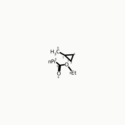 CC1CC1.CCCC(=O)OCC